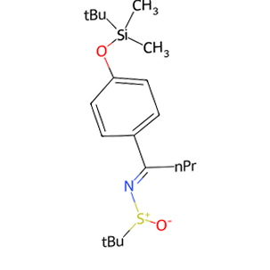 CCC/C(=N\[S+]([O-])C(C)(C)C)c1ccc(O[Si](C)(C)C(C)(C)C)cc1